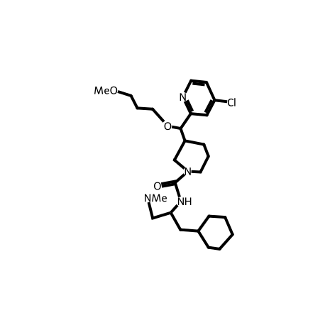 CNCC(CC1CCCCC1)NC(=O)N1CCCC(C(OCCCOC)c2cc(Cl)ccn2)C1